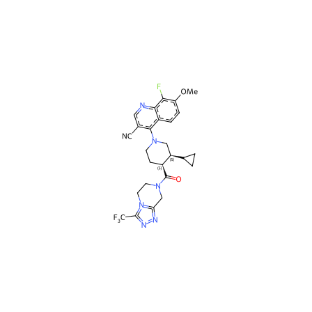 COc1ccc2c(N3CC[C@H](C(=O)N4CCn5c(nnc5C(F)(F)F)C4)[C@H](C4CC4)C3)c(C#N)cnc2c1F